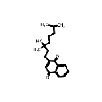 CC(C)CCCC(C)(O)CCC1=CC(=O)c2ccccc2C1=O